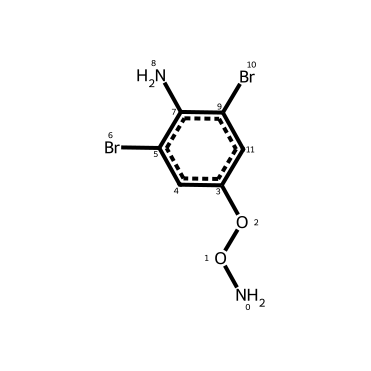 NOOc1cc(Br)c(N)c(Br)c1